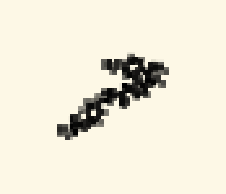 Cc1ccc(C(C)C)c(N2C(=O)CSC2=NC(=O)NCCc2ccc(OC(N)=O)cc2)c1